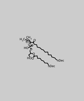 CCCCCCCCCCCCCCCCCCCCCCCC(=O)C(C[N+](C)(C)C)OP(=O)(O)OCC(CO)OC(=O)CCCCCCCCCCCCCCCCC